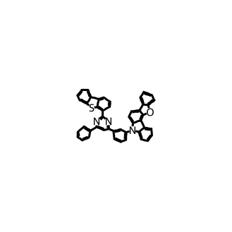 c1ccc(-c2cc(-c3cccc(-n4c5ccccc5c5c6oc7ccccc7c6ccc54)c3)nc(-c3cccc4c3sc3ccccc34)n2)cc1